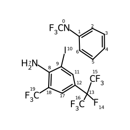 FC(F)(F)Nc1ccccc1.Nc1c(I)cc(C(F)(C(F)(F)F)C(F)(F)F)cc1C(F)(F)F